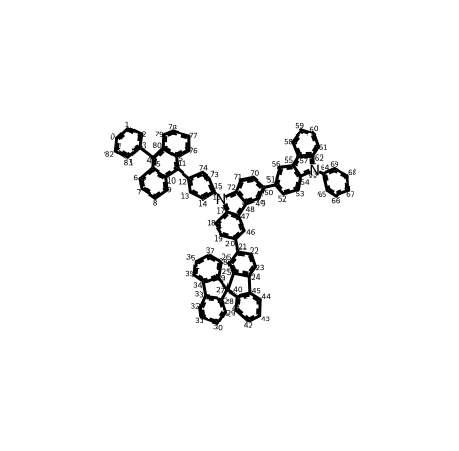 c1ccc(-c2c3ccccc3c(-c3ccc(-n4c5ccc(-c6ccc7c(c6)C6(c8ccccc8-c8ccccc86)c6ccccc6-7)cc5c5cc(-c6ccc7c(c6)c6ccccc6n7-c6ccccc6)ccc54)cc3)c3ccccc23)cc1